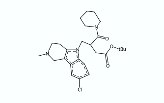 CN1CCc2c(c3cc(Cl)ccc3n2CC(CC(=O)OC(C)(C)C)C(=O)N2CCCCC2)C1